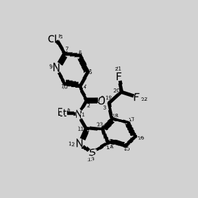 CCN(C(=O)c1ccc(Cl)nc1)c1nsc2cccc(CC(F)F)c12